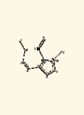 C=Nc1c(/C=C\CC)ccn1C